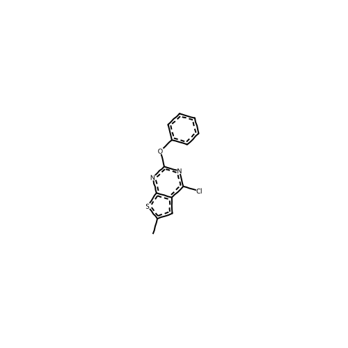 Cc1cc2c(Cl)nc(Oc3ccccc3)nc2s1